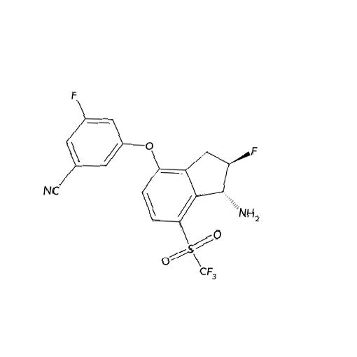 N#Cc1cc(F)cc(Oc2ccc(S(=O)(=O)C(F)(F)F)c3c2C[C@@H](F)[C@@H]3N)c1